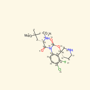 COC(C)(C)C[C@H](NC(=O)O)C(=O)N1C(=O)O[C@]2(CCCNC2)c2c1ccc(Cl)c2F